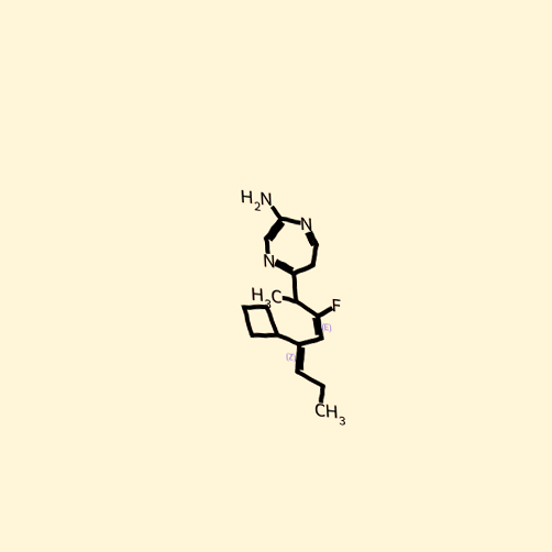 CC/C=C(\C=C(\F)C(C)C1=NC=C(N)N=CC1)C1CCC1